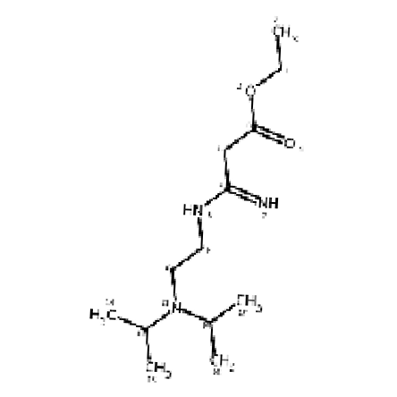 CCOC(=O)CC(=N)NCCN(C(C)C)C(C)C